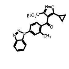 CCOC(=O)c1noc(C2CC2)c1C(=O)c1ccc(-n2nnc3ccccc32)cc1C